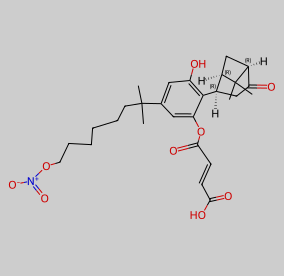 CC(C)(CCCCCCO[N+](=O)[O-])c1cc(O)c([C@@H]2CC(=O)[C@@H]3C[C@H]2C3(C)C)c(OC(=O)C=CC(=O)O)c1